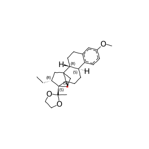 CC[C@@H]1CC23CC[C@@]1(C1(C)OCCO1)[C@@]2(C)CC[C@@H]1c2ccc(OC)cc2CC[C@H]13